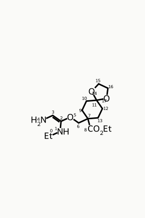 CCN/C(=C\N)OCC1(C(=O)OCC)CCC2(CC1)OCCO2